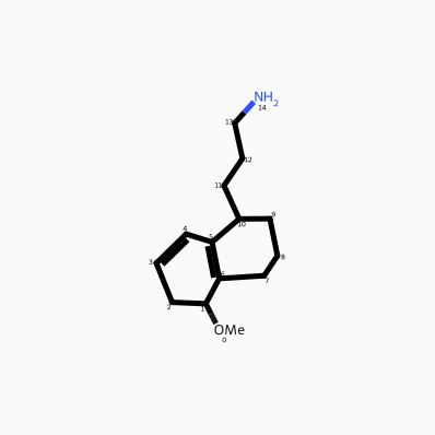 COC1CC=CC2=C1CCCC2CCCN